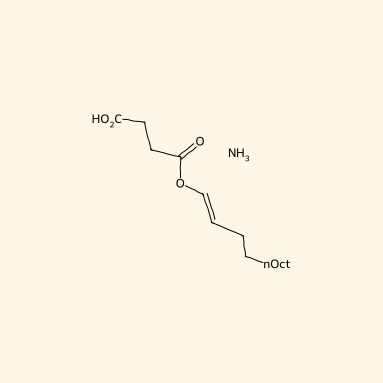 CCCCCCCCCCC=COC(=O)CCC(=O)O.N